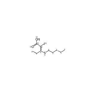 CCCCCSC(CC)=C(I)C(=O)O